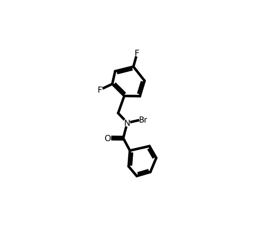 O=C(c1ccccc1)N(Br)Cc1ccc(F)cc1F